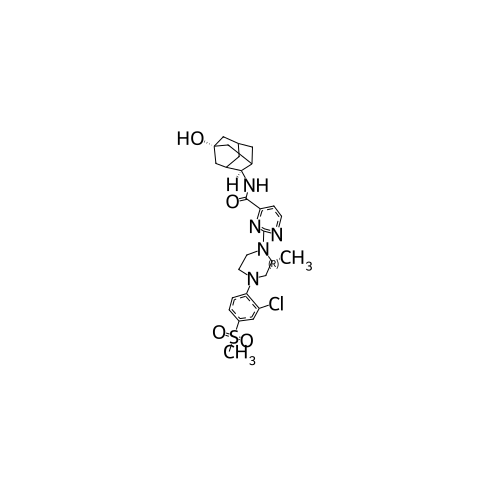 C[C@@H]1CN(c2ccc(S(C)(=O)=O)cc2Cl)CCN1c1nccc(C(=O)N[C@H]2C3CC4CC2C[C@](O)(C4)C3)n1